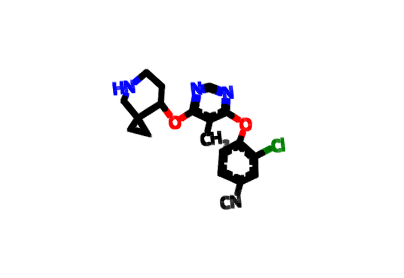 [C-]#[N+]c1ccc(Oc2ncnc(OC3CCNCC34CC4)c2C)c(Cl)c1